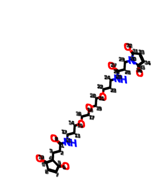 O=C(CCC1C(=O)C=CC1=O)NCCCOCCOCCOCCCNC(=O)CCN1C(=O)C=CC1=O